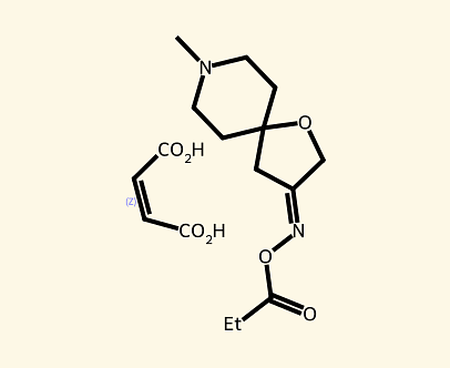 CCC(=O)ON=C1COC2(CCN(C)CC2)C1.O=C(O)/C=C\C(=O)O